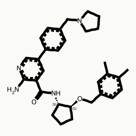 Cc1ccc(CO[C@H]2CCC[C@@H]2NC(=O)c2cc(-c3ccc(CN4CCCC4)cc3)cnc2N)cc1C